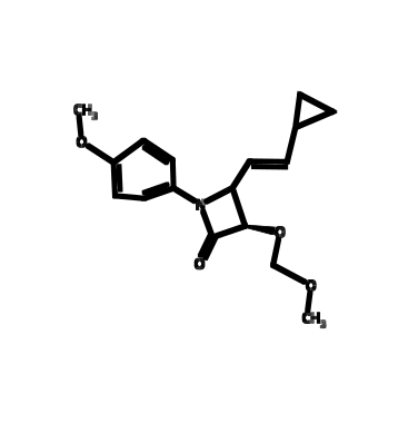 COCO[C@H]1C(=O)N(c2ccc(OC)cc2)C1C=CC1CC1